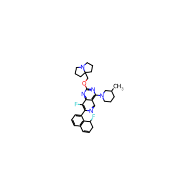 CC1CCCN(c2nc(OCC34CCCN3CCC4)nc3c(F)c(-c4cccc5c4C(F)CC=C5)ncc23)C1